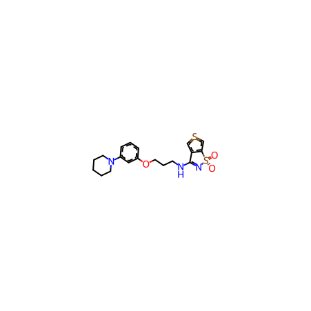 O=S1(=O)N=C(NCCCOc2cccc(N3CCCCC3)c2)c2cscc21